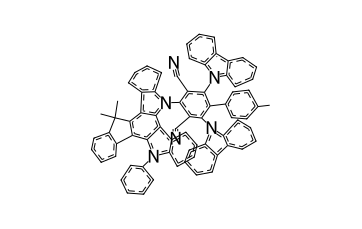 Cc1ccc(-c2c(-n3c4ccccc4c4ccccc43)c(C#N)c(-n3c4ccccc4c4c5c(c6c(c7ccccc7n6-c6ccccc6)c43)-c3ccccc3C5(C)C)c(C#N)c2-n2c3ccccc3c3ccccc32)cc1